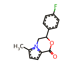 Cc1ccc2n1CC(c1ccc(F)cc1)OC2=O